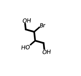 OCC(O)C(Br)CO